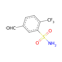 NS(=O)(=O)c1cc([C]=O)ccc1C(F)(F)F